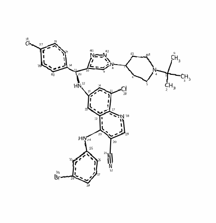 CC(C)(C)N1CCC(n2cc([C@@H](Nc3cc(Cl)c4ncc(C#N)c(Nc5cccc(Br)c5)c4c3)c3ccc(Cl)cc3)nn2)CC1